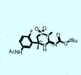 CC(=O)Nc1ccc(F)c([C@]2(C)CS(=O)(=O)N(C)/C(=N\C(=O)OC(C)(C)C)N2)c1